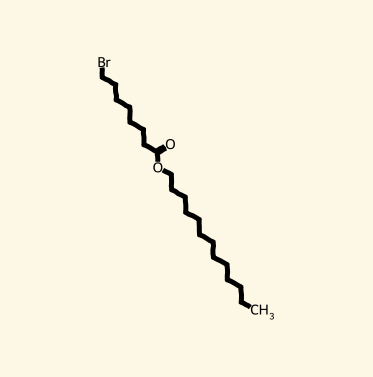 CCCCCCCCCCCCCOC(=O)CCCCCCCBr